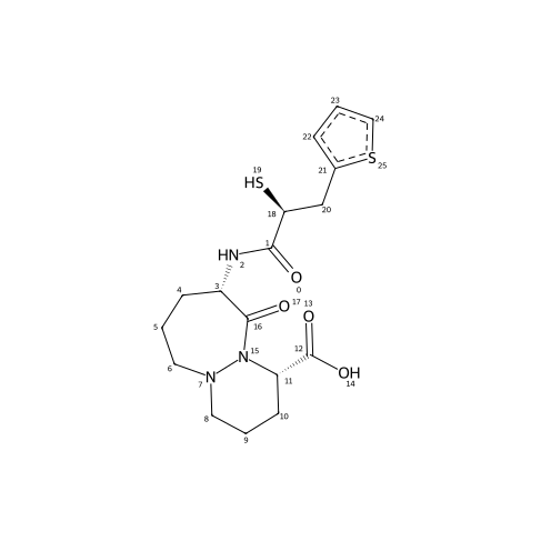 O=C(N[C@H]1CCCN2CCC[C@@H](C(=O)O)N2C1=O)[C@@H](S)Cc1cccs1